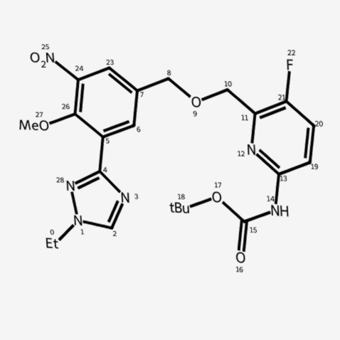 CCn1cnc(-c2cc(COCc3nc(NC(=O)OC(C)(C)C)ccc3F)cc([N+](=O)[O-])c2OC)n1